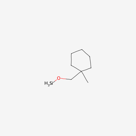 CC1(CO[SiH3])CCCCC1